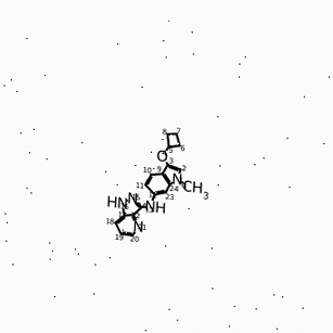 Cn1cc(OC2CCC2)c2ccc(Nc3n[nH]c4cccnc34)cc21